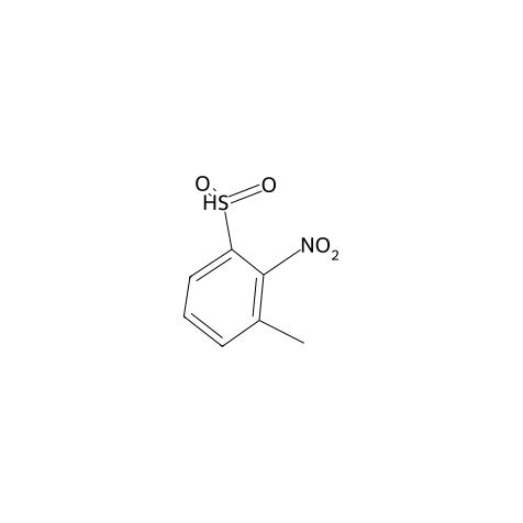 Cc1cccc([SH](=O)=O)c1[N+](=O)[O-]